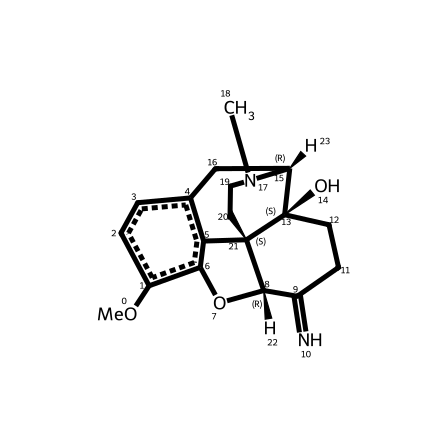 COc1ccc2c3c1O[C@H]1C(=N)CC[C@@]4(O)[C@@H](C2)N(C)CC[C@]314